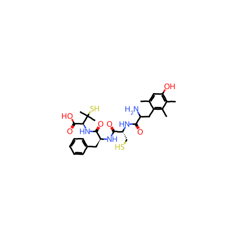 Cc1cc(O)c(C)c(C)c1CC(N)C(=O)N[C@H](CS)C(=O)N[C@@H](Cc1ccccc1)C(=O)N[C@@H](C(=O)O)C(C)(C)S